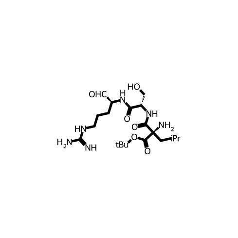 CC(C)C[C@@](N)(C(=O)N[C@@H](CO)C(=O)N[C@H](C=O)CCCNC(=N)N)C(=O)OC(C)(C)C